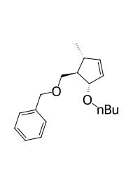 CCCCO[C@H]1C=C[C@@H](C)[C@@H]1COCc1ccccc1